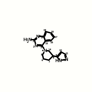 Nc1nc(N2CCCC(c3ccn[nH]3)C2)c2ccccc2n1